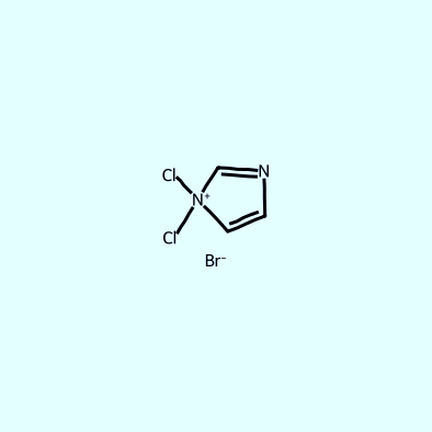 Cl[N+]1(Cl)C=CN=C1.[Br-]